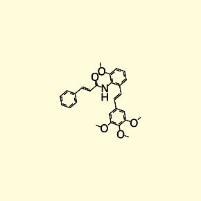 COc1cccc(C=Cc2cc(OC)c(OC)c(OC)c2)c1NC(=O)C=Cc1ccccc1